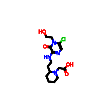 O=C(O)CN1CCCCC1CCNc1ncc(Cl)n(CCO)c1=O